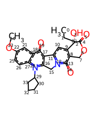 CC[C@@]1(O)C(=O)OCc2c1cc1n(c2=O)Cc2c-1c(=O)c1cc(OC)ccc1n2C1CCCC1